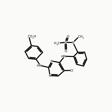 CN(c1ccccc1Nc1nc(Nc2ccc(C(=O)O)cc2)ncc1Cl)S(C)(=O)=O